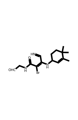 CC1=CC(N/C(C=N)=C(\Br)C(=O)NCC=O)CCC1(C)C